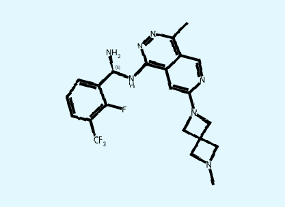 Cc1nnc(N[C@H](N)c2cccc(C(F)(F)F)c2F)c2cc(N3CC4(CN(C)C4)C3)ncc12